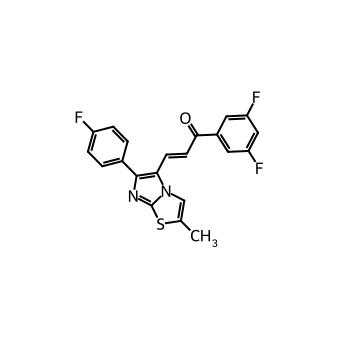 Cc1cn2c(C=CC(=O)c3cc(F)cc(F)c3)c(-c3ccc(F)cc3)nc2s1